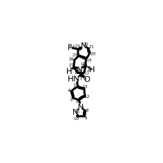 O=C(Nc1ccc(-n2cccn2)cc1)N1[C@@H]2CC[C@H]1c1ccnc(F)c1C2